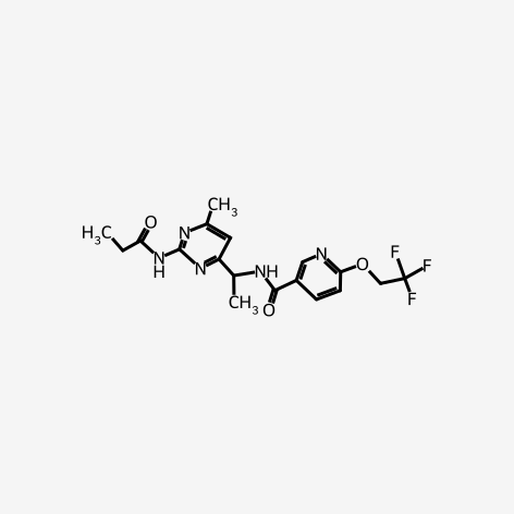 CCC(=O)Nc1nc(C)cc(C(C)NC(=O)c2ccc(OCC(F)(F)F)nc2)n1